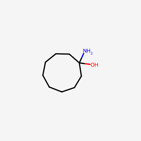 NC1(O)CCCCCCCC1